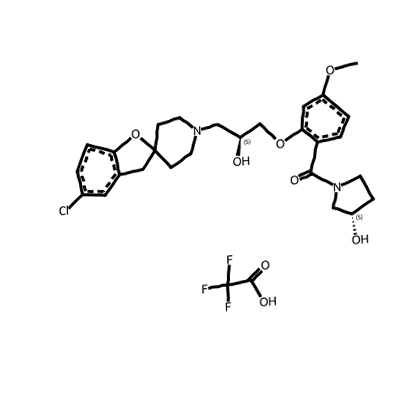 COc1ccc(C(=O)N2CC[C@H](O)C2)c(OC[C@@H](O)CN2CCC3(CC2)Cc2cc(Cl)ccc2O3)c1.O=C(O)C(F)(F)F